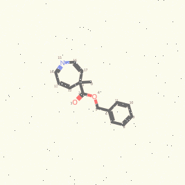 CC1(C(=O)OCc2ccccc2)C=CC=NC=C1